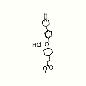 COC(=O)CC[C@H]1CC[C@H](OCc2ccc(C3CCNCC3)cc2)CC1.Cl